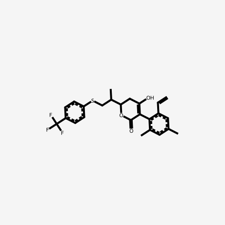 C=Cc1cc(C)cc(C)c1C1=C(O)CC(C(C)CSc2ccc(C(F)(F)F)cc2)OC1=O